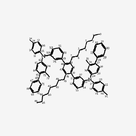 CCCCCCCCc1cc(-c2cccc(N(c3ccc(C)cc3)c3ccc(-c4ccccc4)c(C)c3)c2)c(CCCCCCCC)cc1-c1cccc(N(c2ccc(C)cc2)c2ccc(-c3ccccc3)c(C)c2)c1